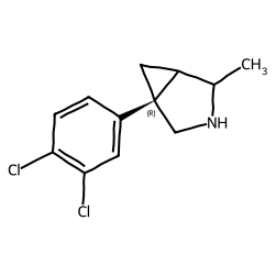 CC1NC[C@]2(c3ccc(Cl)c(Cl)c3)CC12